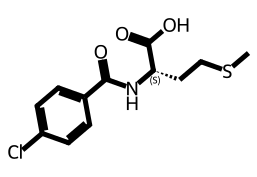 CSCC[C@H](NC(=O)c1ccc(Cl)cc1)C(=O)O